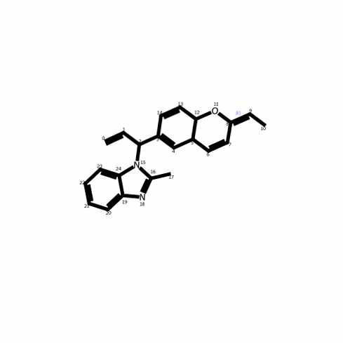 C=CC(C1=CC2C=C/C(=C\C)OC2C=C1)n1c(C)nc2ccccc21